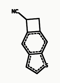 N#CC1Cc2cc3sccc3cc21